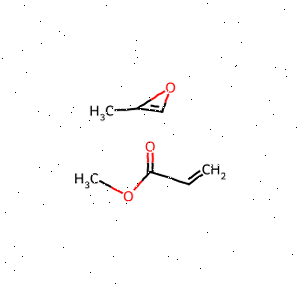 C=CC(=O)OC.CC1=CO1